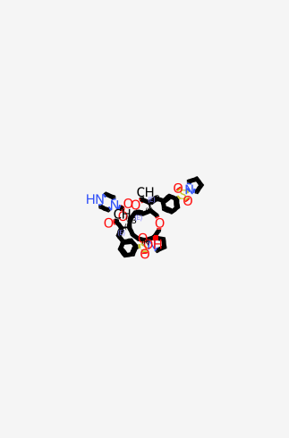 CC(=O)/C(=C/c1cccc(S(=O)(=O)N2CCCC2)c1)[C@@H]1/C=C/[C@@H](OC(=O)N2CCNCC2)[C@H](/C(=C\c2cccc(S(=O)(=O)N3CCCC3)c2)C(C)=O)CC[C@@H](O)CCOC1